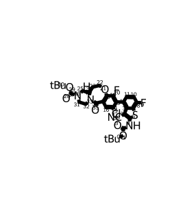 CC(C)(C)OC(=O)Nc1sc2c(F)ccc(-c3c(Cl)cc4c(c3F)OCC[C@H]3CN(C(=O)OC(C)(C)C)CCN3C4=O)c2c1C#N